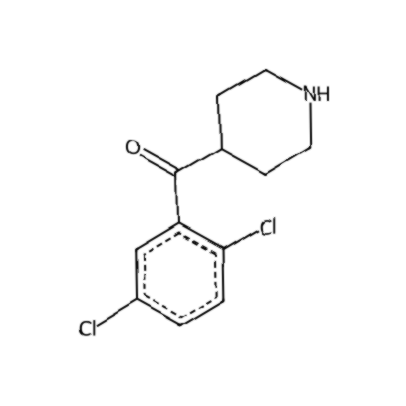 O=C(c1cc(Cl)ccc1Cl)C1CCNCC1